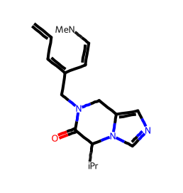 C=C/C=C(\C=C/NC)CN1Cc2cncn2C(C(C)C)C1=O